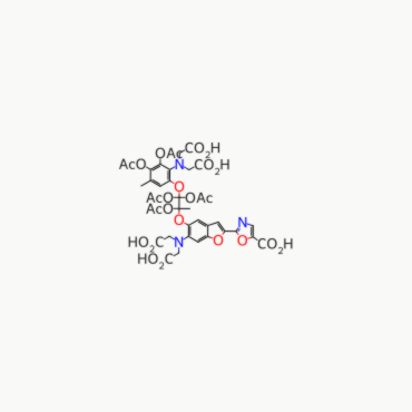 CC(=O)Oc1c(C)cc(OC(OC(C)=O)(OC(C)=O)C(C)(OC(C)=O)Oc2cc3cc(-c4ncc(C(=O)O)o4)oc3cc2N(CC(=O)O)CC(=O)O)c(N(CC(=O)O)CC(=O)O)c1OC(C)=O